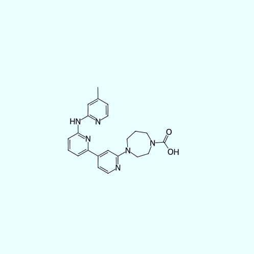 Cc1ccnc(Nc2cccc(-c3ccnc(N4CCCN(C(=O)O)CC4)c3)n2)c1